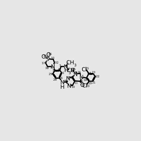 CN(C)Cc1cc(Nc2ncc3c(n2)N(C)CN(c2c(Cl)cccc2Cl)C3=O)ccc1N1CCS(=O)(=O)CC1